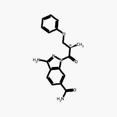 C[C@H](COc1ccccc1)C(=O)n1nc(N)c2ccc(C(N)=O)cc21